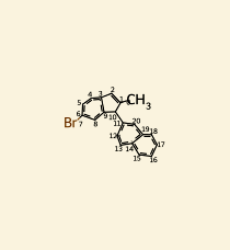 CC1=Cc2ccc(Br)cc2C1c1ccc2ccccc2c1